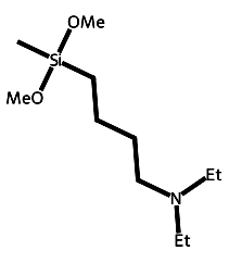 CCN(CC)CCCC[Si](C)(OC)OC